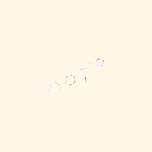 Cl.O=C1OC(Cn2ccnn2)CN1c1ccc(C2=CCNCC2)c(F)c1